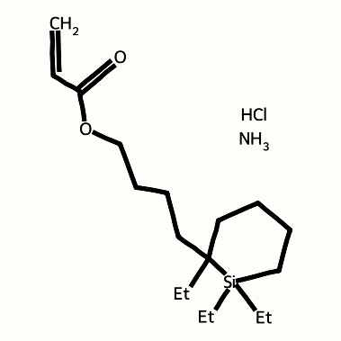 C=CC(=O)OCCCCC1(CC)CCCC[Si]1(CC)CC.Cl.N